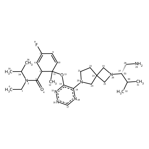 CCN(C(=O)C1C=C(F)C=CC1(C)Oc1nncnc1N1CCC2(C1)CN([C@H](CN)C(C)C)C2)C(C)C